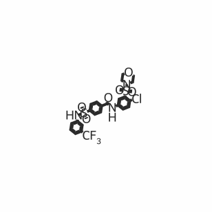 O=C(Nc1ccc(Cl)c(S(=O)(=O)N2CCOCC2)c1)c1ccc(S(=O)(=O)Nc2cccc(C(F)(F)F)c2)cc1